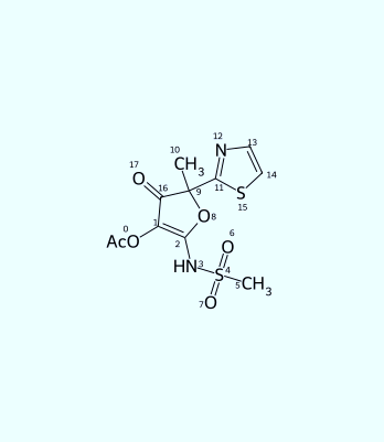 CC(=O)OC1=C(NS(C)(=O)=O)OC(C)(c2nccs2)C1=O